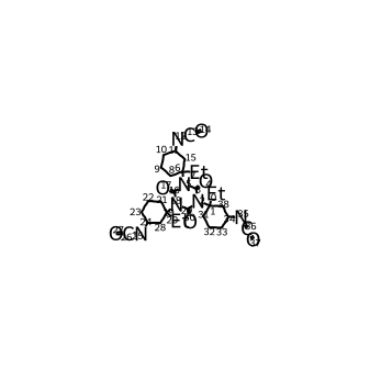 CCC1(n2c(=O)n(C3(CC)CCCC(N=C=O)C3)c(=O)n(C3(CC)CCCC(N=C=O)C3)c2=O)CCCC(N=C=O)C1